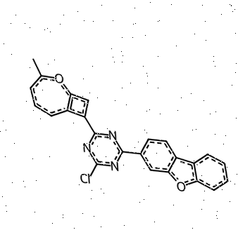 Cc1cccc2c(-c3nc(Cl)nc(-c4ccc5c(c4)oc4ccccc45)n3)cc=2o1